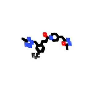 Cc1nnn(Cc2cc(C(F)(F)F)ccc2/C=C/C(=O)N2CCC(Cc3nnc(C)o3)CC2)n1